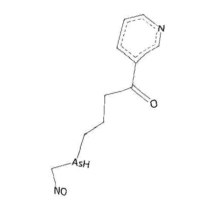 O=NC[AsH]CCCC(=O)c1cccnc1